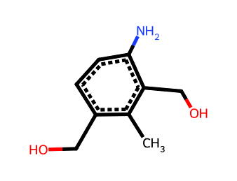 Cc1c(CO)ccc(N)c1CO